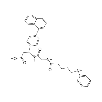 O=C(O)CC(NC(=O)CNC(=O)CCCCNc1ccccn1)c1ccc(-c2cccc3ccccc23)cc1